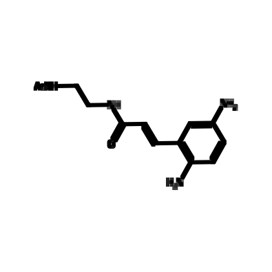 CC(=O)NCCNC(=O)C=Cc1cc(N)ccc1N